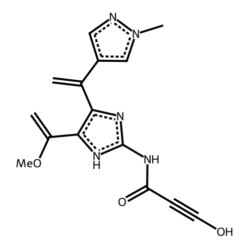 C=C(c1cnn(C)c1)c1nc(NC(=O)C#CO)[nH]c1C(=C)OC